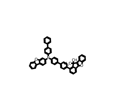 CC1(C)c2c(-c3ccc(-c4ccc(N(c5ccc(-c6ccccc6)cc5)c5ccc6c(c5)oc5ccccc56)cc4)cc3)cccc2-c2oc3ccccc3c21